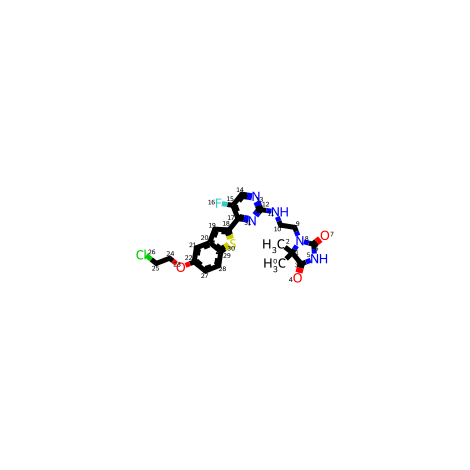 CC1(C)C(=O)NC(=O)N1CCNc1ncc(F)c(-c2cc3cc(OCCCl)ccc3s2)n1